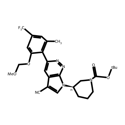 COCOc1cc(C(F)(F)F)cc(C)c1-c1cc2c(C#N)cn([C@@H]3CCCN(C(=O)OC(C)(C)C)C3)c2nn1